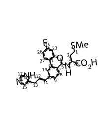 CSCC[C@H](NC(=O)c1ccc(/C=C/Cc2cnc[nH]2)cc1-c1ccc(F)cc1)C(=O)O